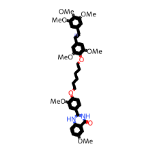 COc1ccc2c(c1)C(=O)NC(c1ccc(OCCCCCCOc3c(OC)cc(/C=C/c4cc(OC)c(OC)c(OC)c4)cc3OC)c(OC)c1)N2